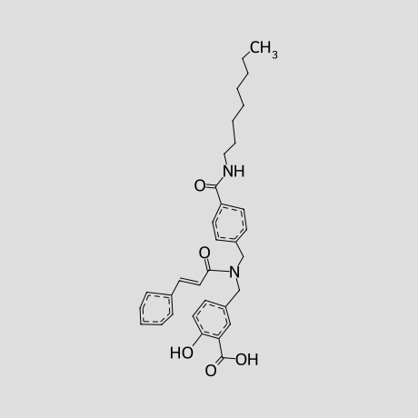 CCCCCCCCNC(=O)c1ccc(CN(Cc2ccc(O)c(C(=O)O)c2)C(=O)C=Cc2ccccc2)cc1